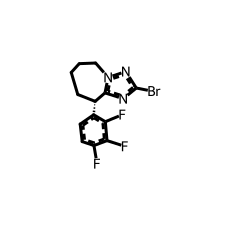 Fc1ccc([C@@H]2CCCCn3nc(Br)nc32)c(F)c1F